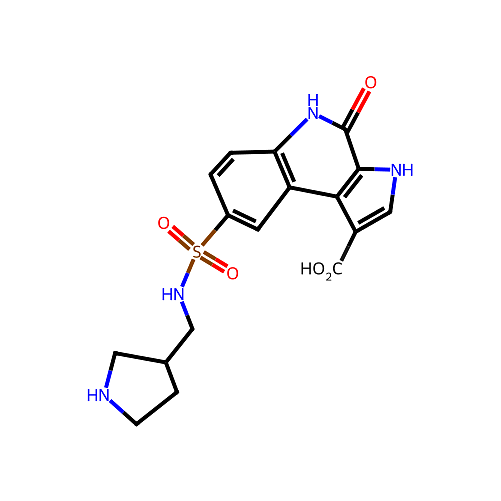 O=C(O)c1c[nH]c2c(=O)[nH]c3ccc(S(=O)(=O)NCC4CCNC4)cc3c12